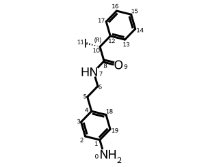 Nc1ccc(CCNC(=O)[C@H](I)c2ccccc2)cc1